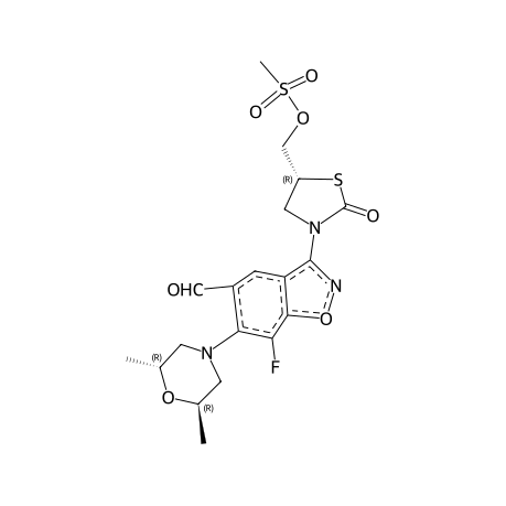 C[C@@H]1CN(c2c(C=O)cc3c(N4C[C@H](COS(C)(=O)=O)SC4=O)noc3c2F)C[C@@H](C)O1